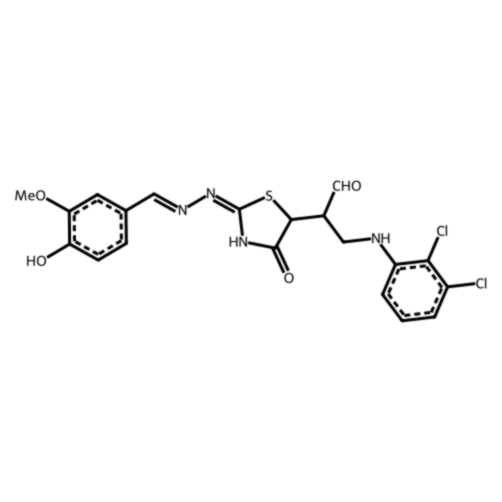 COc1cc(/C=N/N=C2\NC(=O)C(C(C=O)CNc3cccc(Cl)c3Cl)S2)ccc1O